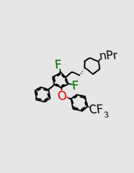 CCC[C@H]1CC[C@H](CCc2c(F)cc(-c3ccccc3)c(Oc3ccc(C(F)(F)F)cc3)c2F)CC1